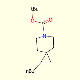 CCCCC1CC12CCN(C(=O)OC(C)(C)C)CC2